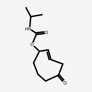 CC(C)NC(=O)OC1/C=C/CC(=O)CCC1